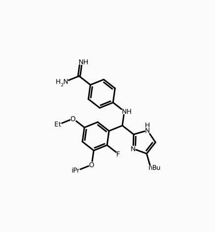 CCCCc1c[nH]c(C(Nc2ccc(C(=N)N)cc2)c2cc(OCC)cc(OC(C)C)c2F)n1